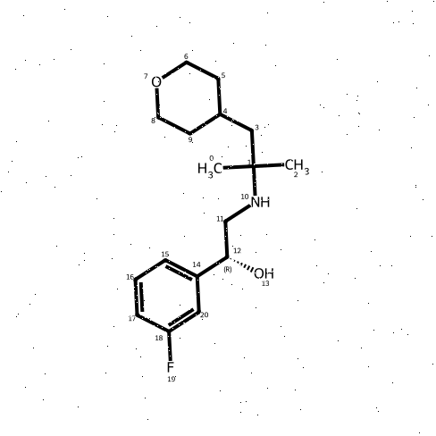 CC(C)(CC1CCOCC1)NC[C@H](O)c1cccc(F)c1